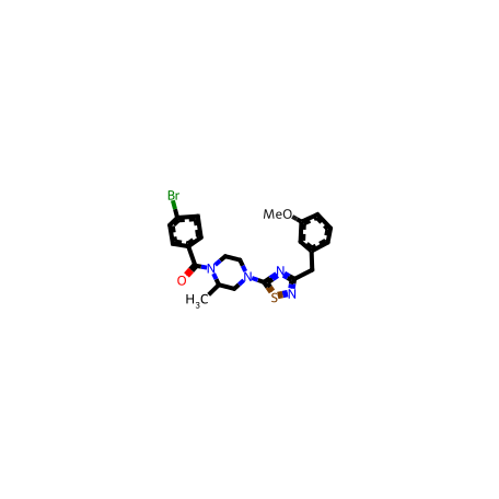 COc1cccc(Cc2nsc(N3CCN(C(=O)c4ccc(Br)cc4)C(C)C3)n2)c1